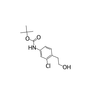 CC(C)(C)OC(=O)Nc1ccc(CCO)c(Cl)c1